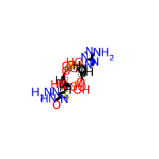 Nc1nc2c([C@@H]3O[C@@H]4CO[P@](=O)(S)O[C@H]5[C@@H](O)[C@H](n6cnc7c(N)ncnc76)[C@H]6C[C@]65COP(=O)(O)O[C@@H]3[C@@H]4O)snc2c(=O)[nH]1